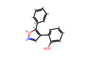 Oc1ccccc1-c1cnoc1-c1ccccc1